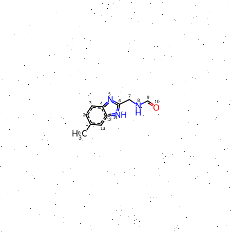 Cc1ccc2nc(CNC=O)[nH]c2c1